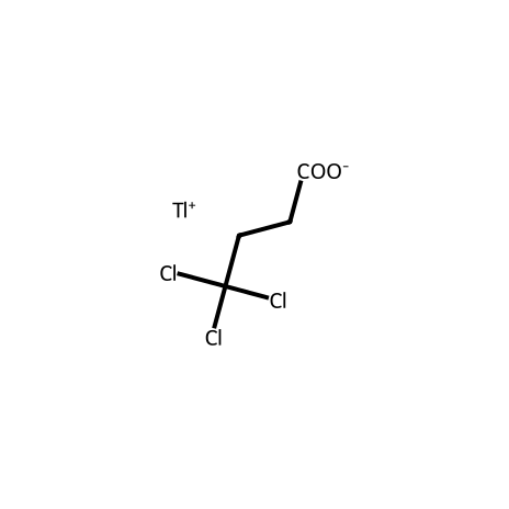 O=C([O-])CCC(Cl)(Cl)Cl.[Tl+]